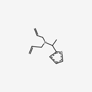 C=CCN(CC=C)C(C)c1cccs1